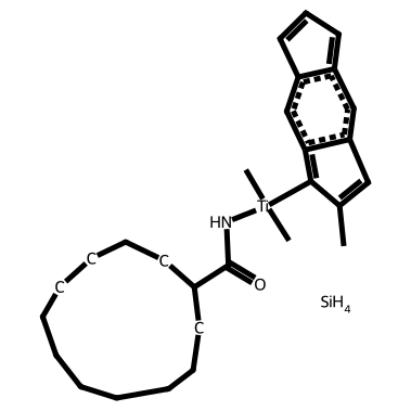 CC1=Cc2cc3c(cc2=[C]1[Ti]([CH3])([CH3])[NH]C(=O)C1CCCCCCCCCCC1)C=CC=3.[SiH4]